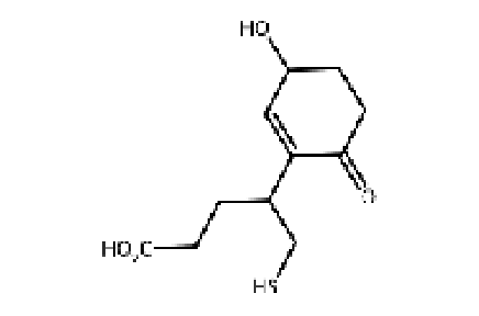 O=C(O)CCC(CS)C1=CC(O)CCC1=O